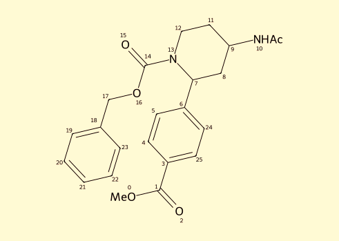 COC(=O)c1ccc(C2CC(NC(C)=O)CCN2C(=O)OCc2ccccc2)cc1